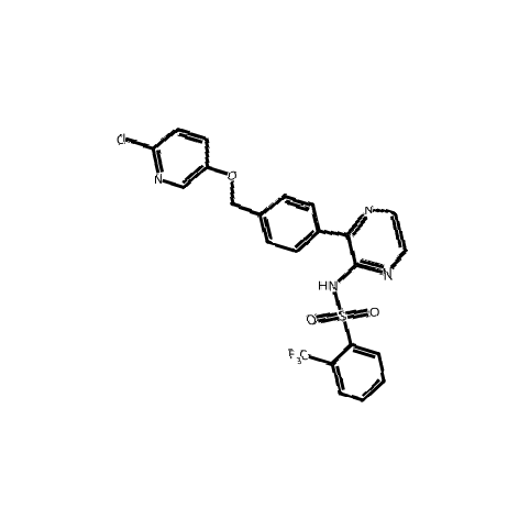 O=S(=O)(Nc1nccnc1-c1ccc(COc2ccc(Cl)nc2)cc1)c1ccccc1C(F)(F)F